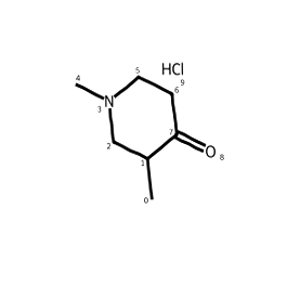 CC1CN(C)CCC1=O.Cl